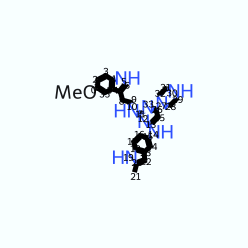 COc1ccc2[nH]cc(CCNc3nc(Nc4ccc5[nH]c(C)cc5c4)cc(N4CCNCC4)n3)c2c1